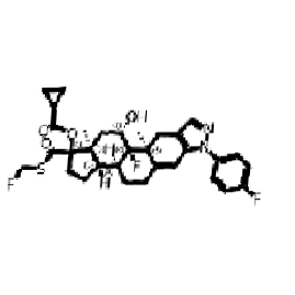 C[C@]12Cc3cnn(-c4ccc(F)cc4)c3C=C1CC[C@H]1[C@@H]3CC[C@](OC(=O)C4CC4)(C(=O)SCF)[C@@]3(C)C[C@H](O)[C@@]12F